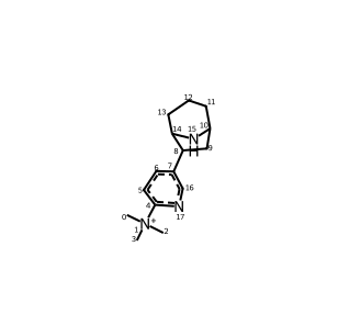 C[N+](C)(C)c1ccc(C2CC3CCCC2N3)cn1